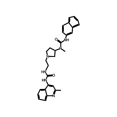 Cc1cc(NC(=O)NCCN2CCC(N(C)C(=O)Nc3ccc4ccccc4c3)C2)c2ccccc2n1